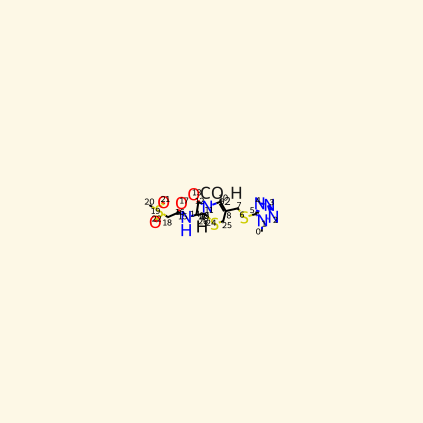 Cn1nnnc1SCC1=C(C(=O)O)N2C(=O)C(NC(=O)CS(C)(=O)=O)[C@H]2SC1